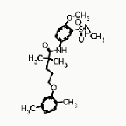 CNS(=O)(=O)c1cc(NC(=O)C(C)(C)CCCOc2cc(C)ccc2C)ccc1OC